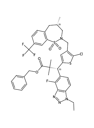 CCn1nnc2c(F)c([C@@H](c3cc(CN4C[C@@H](C)Cc5ccc(C(F)(F)F)cc5S4(=O)=O)c(Cl)s3)C(C)(C)C(=O)OCc3ccccc3)ccc21